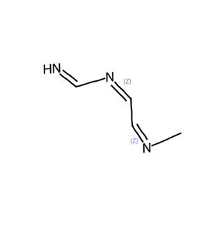 C/N=C\C=N/C=N